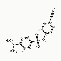 CC(C)c1ccc(S(=O)(=O)Oc2ccc(C#N)nn2)cn1